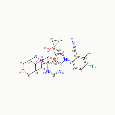 Cc1c(F)ccc(-n2ccc3c(OC4C5COCC4CN(C(=O)OC4(C)CC4)C5)ncnc32)c1C#N